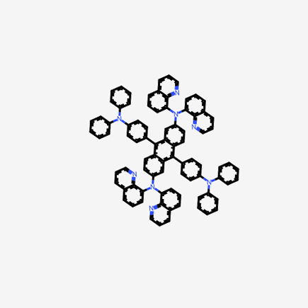 c1ccc(N(c2ccccc2)c2ccc(-c3c4ccc(N(c5cccc6cccnc56)c5cccc6cccnc56)cc4c(-c4ccc(N(c5ccccc5)c5ccccc5)cc4)c4ccc(N(c5cccc6cccnc56)c5cccc6cccnc56)cc34)cc2)cc1